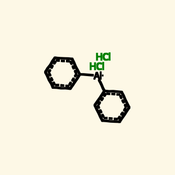 Cl.Cl.c1cc[c]([Al][c]2ccccc2)cc1